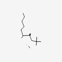 CCCCCC(C)C(=O)[C@@H](NC)C(C)(C)O